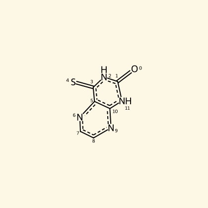 O=c1[nH]c(=S)c2nccnc2[nH]1